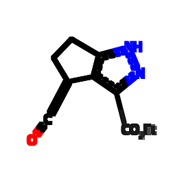 CCOC(=O)c1n[nH]c2c1C(=C=O)CC2